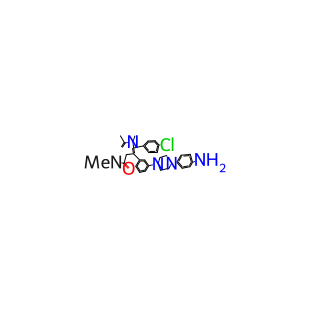 C=C(C)N(C)/C(=C(\CC(=O)NC)c1cccc(N2CCN(c3ccc(N)cc3)CC2)c1)c1ccc(Cl)cc1